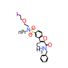 CCCN(CCOCCI)S(=O)(=O)c1ccc2oc(C(=O)NCc3ccccc3)c(C)c2c1